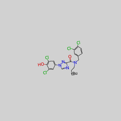 CC(C)(C)CCN(Cc1ccc(Cl)c(Cl)c1)C(=O)c1ncn(-c2cc(Cl)c(O)c(Cl)c2)n1